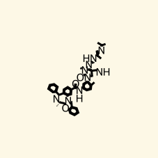 CC(C)=N/C=C(\C)N/C=N/C1=C(C=N)CN(c2cc(NC(=O)c3ccc4c(c3)N(Cc3ccccc3)C(=O)[C@H](C)N=C4c3ccccc3)ccc2C)C(=O)N1C